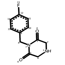 O=C1CNCC(=O)N1Cc1ccc(F)cc1